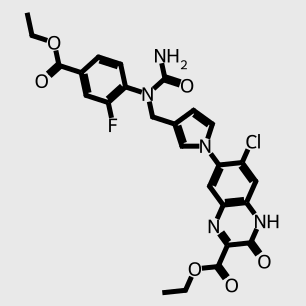 CCOC(=O)c1ccc(N(Cc2ccn(-c3cc4nc(C(=O)OCC)c(=O)[nH]c4cc3Cl)c2)C(N)=O)c(F)c1